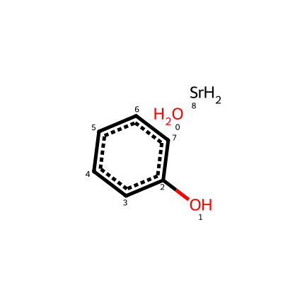 O.Oc1ccccc1.[SrH2]